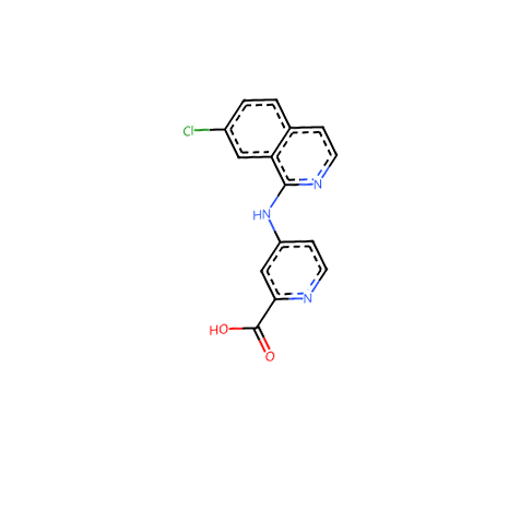 O=C(O)c1cc(Nc2nccc3ccc(Cl)cc23)ccn1